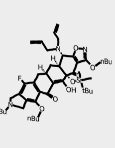 C=CCN(CC=C)[C@@H]1c2onc(OCCCC)c2C(=O)[C@@]2(O[Si](C)(C)C(C)(C)C)C(O)=C3C(=O)c4c(c(F)c5c(c4OCCCC)CN(CCCC)C5)C[C@H]3C[C@@H]12